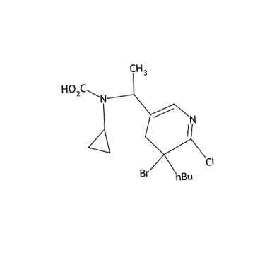 CCCCC1(Br)CC(C(C)N(C(=O)O)C2CC2)=CN=C1Cl